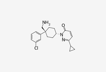 NC[C@]1(c2cccc(Cl)c2)CC[C@@H](n2nc(C3CC3)ccc2=O)CC1